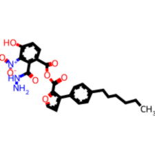 CCCCCCc1ccc(-c2ccoc2C(=O)OC(=O)c2ccc(O)c([N+](=O)[O-])c2C(=O)NN)cc1